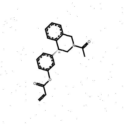 C=CC(=O)Oc1cccc([C@H]2CN(C(C)=O)Cc3ccccc32)c1